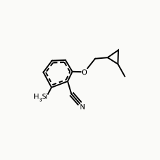 CC1CC1COc1cccc([SiH3])c1C#N